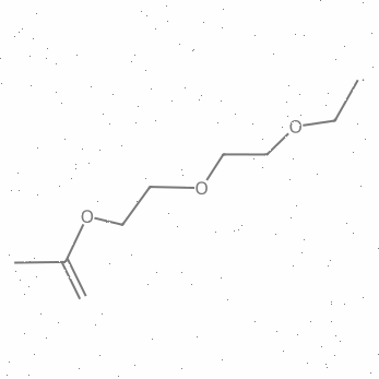 [CH2]COCCOCCOC(=C)C